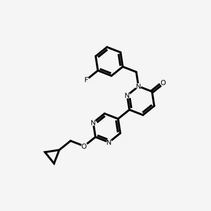 O=c1ccc(-c2cnc(OCC3CC3)nc2)nn1Cc1cccc(F)c1